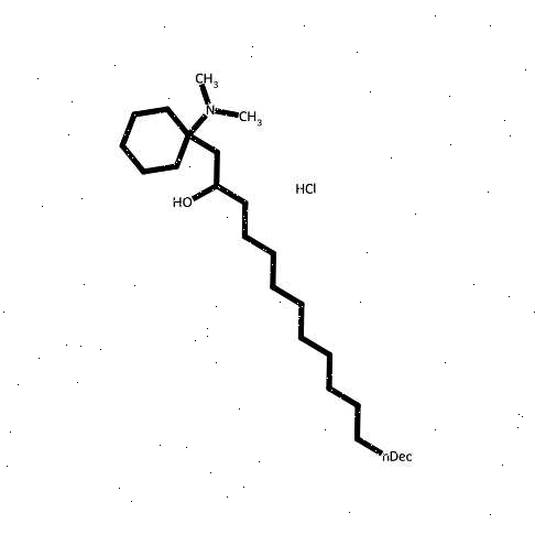 CCCCCCCCCCCCCCCCCCCCC(O)CC1(N(C)C)CCCCC1.Cl